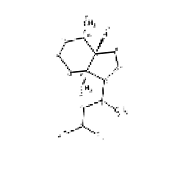 C[C@H](CC(F)F)[C@H]1CC[C@H]2[C@@H](C)CCC[C@]12C